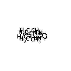 CC(C)[Si](c1cc2[nH]c3ccccc3nc-2n1)(C(C)C)C(C)C